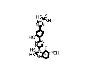 CC[C@@H]1CCC[C@H](N(c2cnc(-c3ccc(-c4nnn(C(S)(S)S)n4)cc3O)nn2)C(S)(S)S)[C@@H]1F